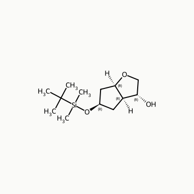 CC(C)(C)[Si](C)(C)O[C@@H]1C[C@@H]2[C@@H](O)CO[C@@H]2C1